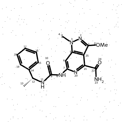 COc1nn(I)c2cc(NC(=O)N[C@H](C)c3ccccc3)nc(C(N)=O)c12